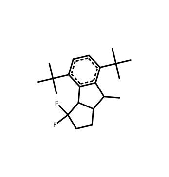 CC1c2c(C(C)(C)C)ccc(C(C)(C)C)c2C2C1CCC2(F)F